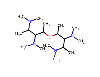 CC(OC(C)C(C(C)N(C)C)N(C)C)C(C(C)N(C)C)N(C)C